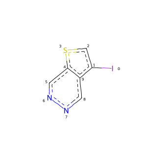 Ic1csc2cnncc12